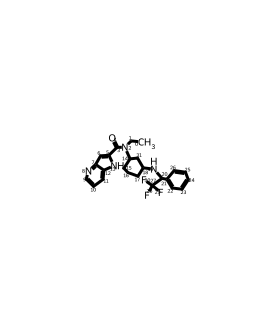 CCN(C(=O)c1cc2ncccc2[nH]1)C1CCCC(NC(c2ccccc2)C(F)(F)F)C1